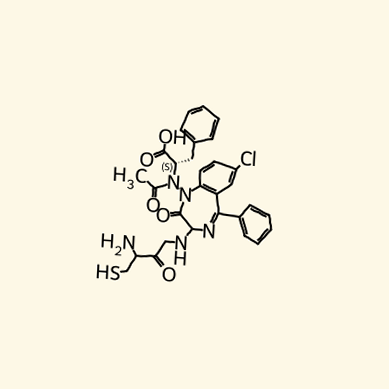 CC(=O)N([C@@H](Cc1ccccc1)C(=O)O)N1C(=O)C(NCC(=O)C(N)CS)N=C(c2ccccc2)c2cc(Cl)ccc21